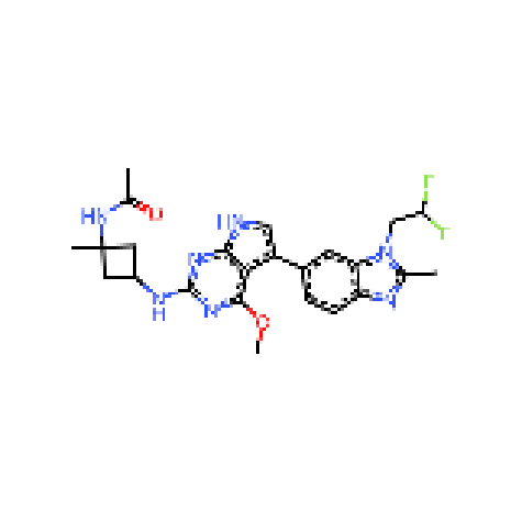 COc1nc(NC2CC(C)(NC(C)=O)C2)nc2[nH]cc(-c3ccc4nc(C)n(CC(F)F)c4c3)c12